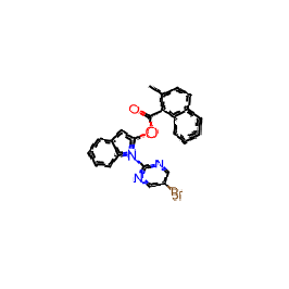 Cc1ccc2ccccc2c1C(=O)Oc1cc2ccccc2n1-c1ncc(Br)cn1